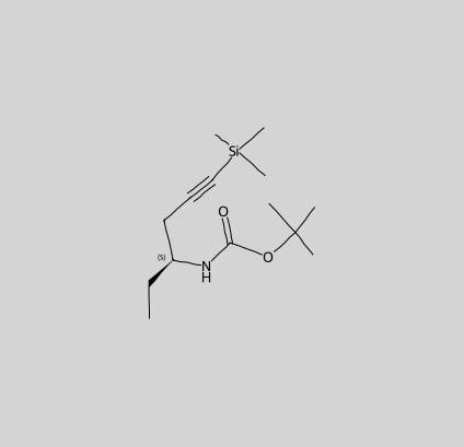 CC[C@@H](CC#C[Si](C)(C)C)NC(=O)OC(C)(C)C